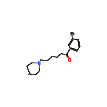 CCc1cccc(C(=O)CCCCCN2CC[CH]CC2)c1